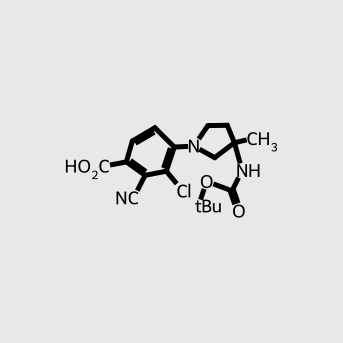 CC1(NC(=O)OC(C)(C)C)CCN(c2ccc(C(=O)O)c(C#N)c2Cl)C1